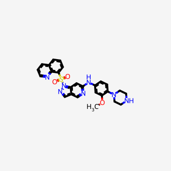 COc1cc(Nc2cc3c(cn2)cnn3S(=O)(=O)c2cccc3cccnc23)ccc1N1CCNCC1